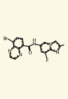 Cc1cn2cc(NC(=O)c3ccc(Br)c4nccnc34)cc(F)c2n1